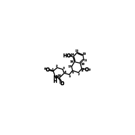 O=C1CCC(CC2CC(=O)c3cccc(O)c3C2)C(=O)N1